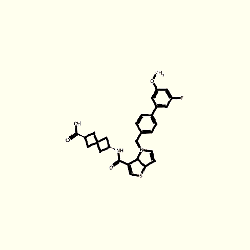 COc1cc(F)cc(-c2ccc(CN3C=CC4SC=C(C(=O)N[C@H]5CC6(C5)C[C@H](C(=O)O)C6)C43)cc2)c1